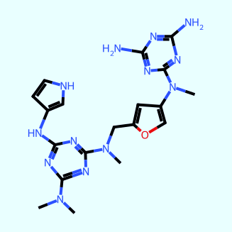 CN(C)c1nc(Nc2cc[nH]c2)nc(N(C)Cc2cc(N(C)c3nc(N)nc(N)n3)co2)n1